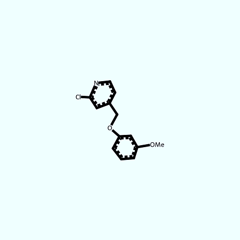 COc1cccc(OCc2ccnc(Cl)c2)c1